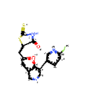 O=C1NC(=S)SC1=Cc1cc2cncc(-c3ccc(F)nc3)c2o1